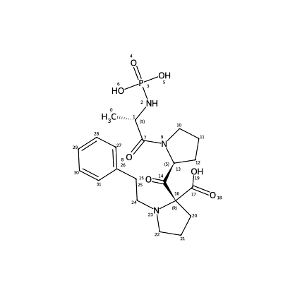 C[C@H](NP(=O)(O)O)C(=O)N1CCC[C@H]1C(=O)[C@@]1(C(=O)O)CCCN1CCc1ccccc1